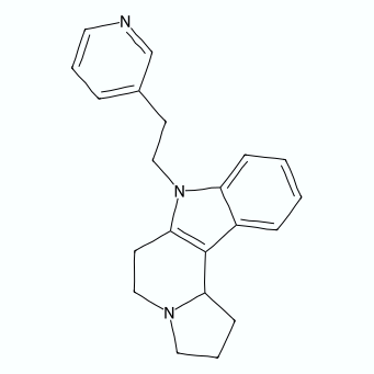 c1cncc(CCn2c3c(c4ccccc42)C2CCCN2CC3)c1